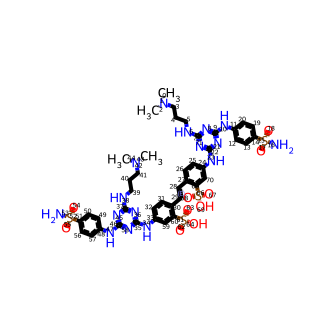 CN(C)CCCNc1nc(Nc2ccc(S(N)(=O)=O)cc2)nc(Nc2ccc(/C=C/c3ccc(Nc4nc(NCCCN(C)C)nc(Nc5ccc(S(N)(=O)=O)cc5)n4)cc3S(=O)(=O)O)c(S(=O)(=O)O)c2)n1